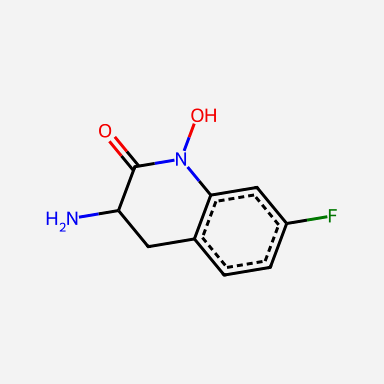 NC1Cc2ccc(F)cc2N(O)C1=O